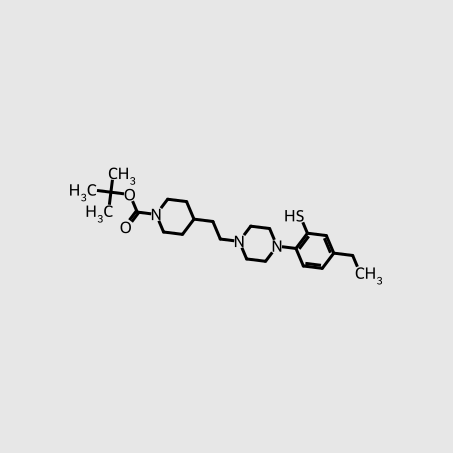 CCc1ccc(N2CCN(CCC3CCN(C(=O)OC(C)(C)C)CC3)CC2)c(S)c1